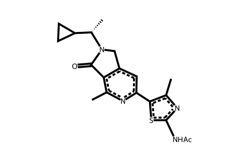 CC(=O)Nc1nc(C)c(-c2cc3c(c(C)n2)C(=O)N([C@@H](C)C2CC2)C3)s1